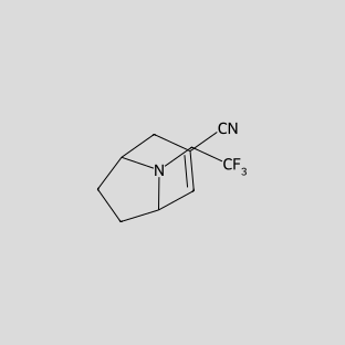 N#CC1=CC2CCC(C1)N2CC(F)(F)F